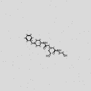 O=C(CN(CCS)CC(=O)NC1CCN(Cc2ccccc2)CC1)NCCS